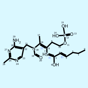 CCC/C=C/C(O)=[SH]\C(CCOP(=O)(O)O)=C(\C)N(C=O)Cc1cnc(C)nc1N